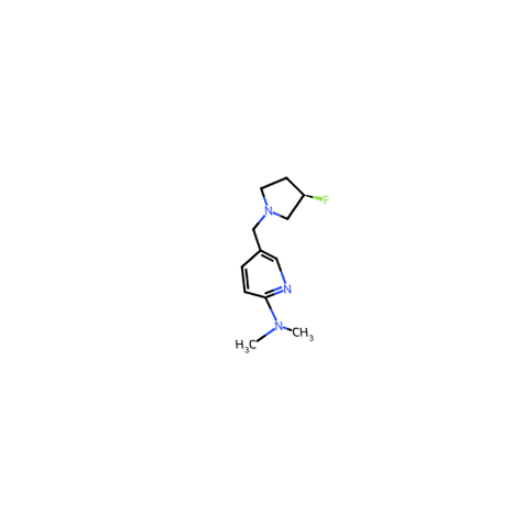 CN(C)c1ccc(CN2CC[C@@H](F)C2)cn1